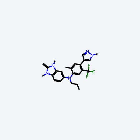 C=C1N(C)c2ccc(N(CCC)c3cc(C(F)(F)F)c(-c4cnn(C)c4)cc3C)cc2N1C